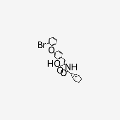 O=C(O)C(=Cc1ccc(Oc2ccccc2Br)cc1)NC(=O)C1C2C3CCC(C3)C12